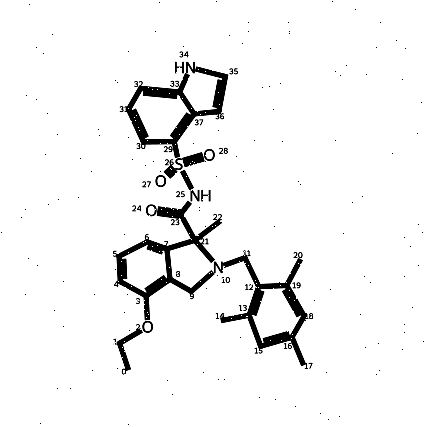 CCOc1cccc2c1CN(Cc1c(C)cc(C)cc1C)C2(C)C(=O)NS(=O)(=O)c1cccc2[nH]ccc12